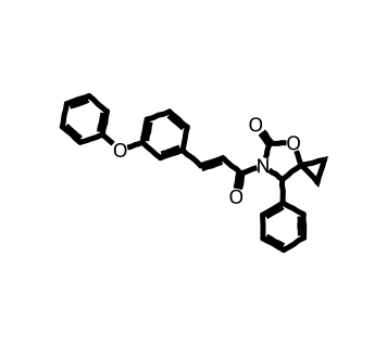 O=C(C=Cc1cccc(Oc2ccccc2)c1)N1C(=O)OC2(CC2)C1c1ccccc1